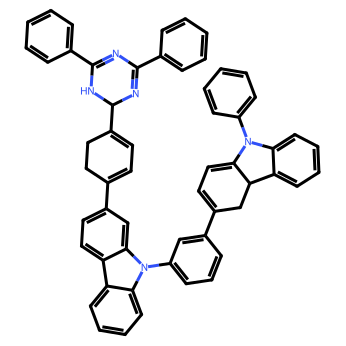 C1=C(c2ccc3c4ccccc4n(-c4cccc(C5=CC=C6C(C5)c5ccccc5N6c5ccccc5)c4)c3c2)CCC(C2N=C(c3ccccc3)N=C(c3ccccc3)N2)=C1